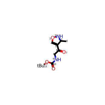 CC1NOC=C1C(=O)CNC(=O)OC(C)(C)C